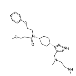 CNCCN(C)Cc1c[nH]nc1[C@H]1CC[C@@H](N(CCOc2ccccc2)C(=O)CCOC)CC1